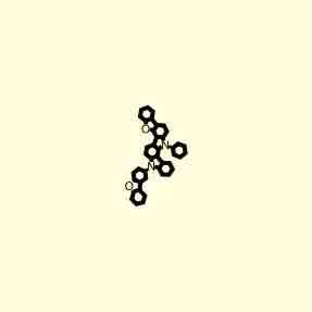 c1ccc(-n2c3ccc4c5ccccc5oc4c3c3ccc4c(c5ccccc5n4-c4ccc5oc6ccccc6c5c4)c32)cc1